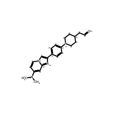 CN(C)c1ccn2cc(-c3ccc(N4CCC(CC=O)CC4)cc3)nc2c1